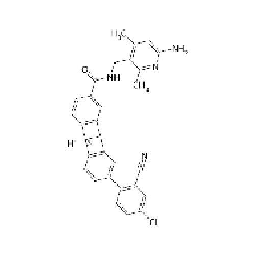 Cc1cc(N)nc(C)c1CNC(=O)c1ccc2c(c1)C1c3cc(-c4ccc(Cl)cc4C#N)ccc3[C@@H]21